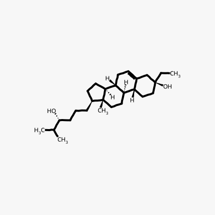 CC[C@]1(O)CC[C@H]2C(=CC[C@@H]3[C@@H]2CC[C@]2(C)[C@@H](CCC[C@@H](O)C(C)C)CC[C@@H]32)C1